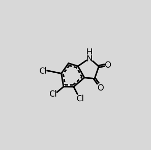 O=C1Nc2cc(Cl)c(Cl)c(Cl)c2C1=O